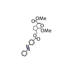 COC(=O)C1=COC(OC)C2C(COC(=O)c3ccc(/N=N/c4ccccc4)cc3)CCC12